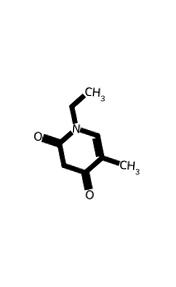 CCN1C=C(C)C(=O)CC1=O